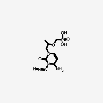 CC(CN1C=CC(N)N(N=[N+]=[N-])C1=O)OCP(=O)(O)O